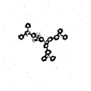 FC(F)(F)C(c1ccc(-c2nc(-c3ccccc3)cc(-c3ccccc3)n2)cc1)(c1ccc(-n2c3ccc(-c4ccc5c(c4)c4ccccc4n5-c4ccccc4)cc3c3cc(-c4ccc5c(c4)c4ccccc4n5-c4ccccc4)ccc32)cc1)C(F)(F)F